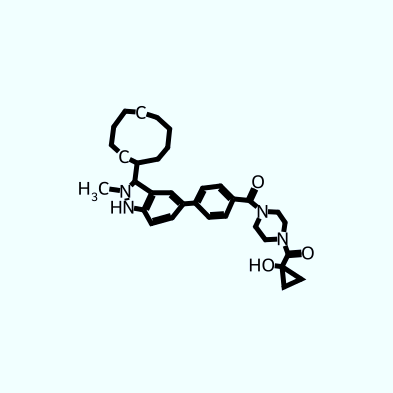 CN1Nc2ccc(-c3ccc(C(=O)N4CCN(C(=O)C5(O)CC5)CC4)cc3)cc2C1C1CCCCCCCCC1